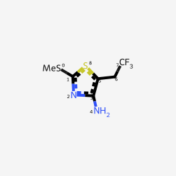 CSc1nc(N)c(CC(F)(F)F)s1